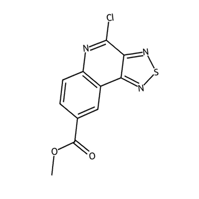 COC(=O)c1ccc2nc(Cl)c3nsnc3c2c1